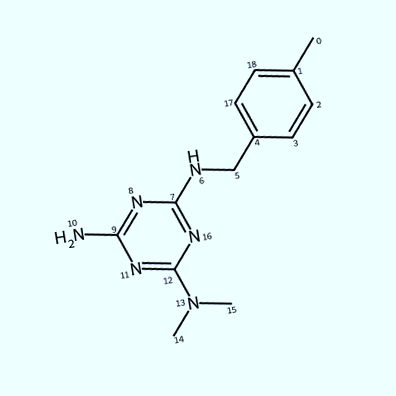 Cc1ccc(CNc2nc(N)nc(N(C)C)n2)cc1